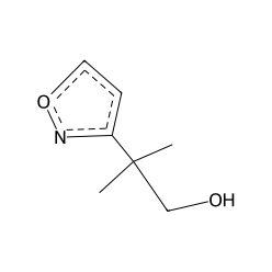 CC(C)(CO)c1ccon1